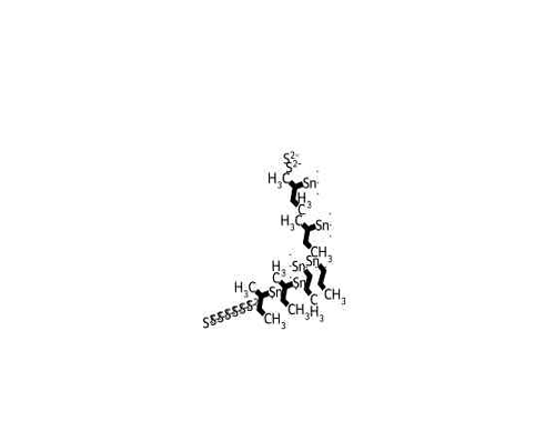 CC[CH2][Sn].CC[CH2][Sn].CC[CH](C)[Sn].CC[CH](C)[Sn].CC[CH](C)[Sn].CC[CH](C)[Sn].[S-2].[S-2].[S-2].[S-2].[S-2].[S-2].[S-2].[S-2].[S-2]